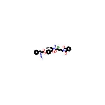 CC(C)CC(NC(=O)C(Br)CCCN1C(=O)c2ccccc2C1=O)C(=O)c1ccc(OC(=O)[C@@H](N)Cc2ccccc2)cc1